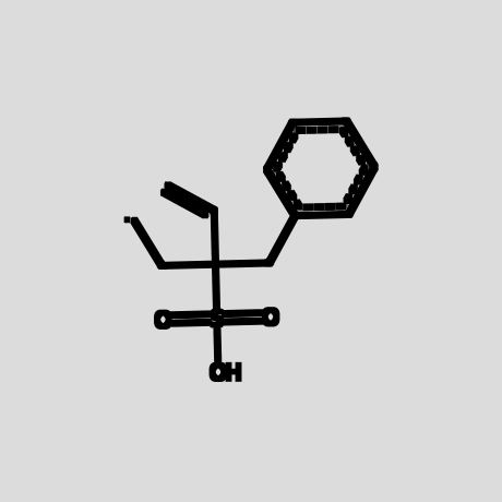 [CH2]CC(C=C)(Cc1ccccc1)S(=O)(=O)O